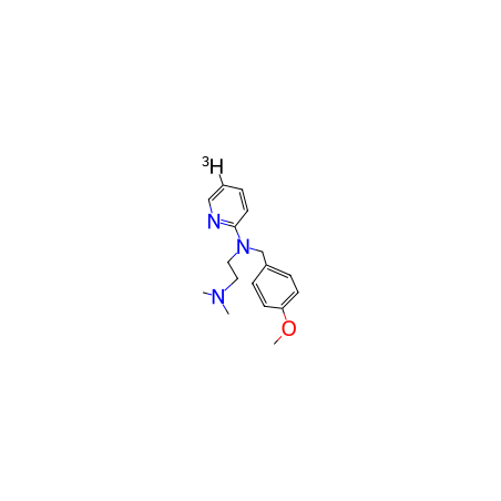 [3H]c1ccc(N(CCN(C)C)Cc2ccc(OC)cc2)nc1